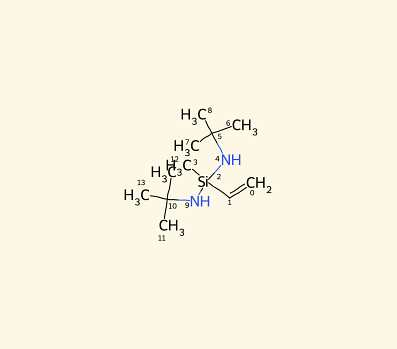 C=C[Si](C)(NC(C)(C)C)NC(C)(C)C